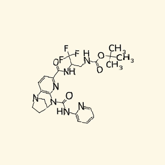 CC(C)(C)OC(=O)NCC(NC(=O)c1ccc2c(n1)N(C(=O)Nc1ccccn1)C1CCN2C1)C(F)(F)F